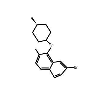 C[C@H]1CC[C@@H](Oc2c(I)ccc3ccc(Br)cc23)CC1